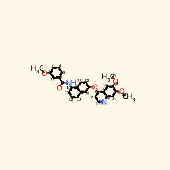 COc1cccc(C(=O)Nc2cccc3cc(Oc4ccnc5cc(OC)c(OC)cc45)ccc23)c1